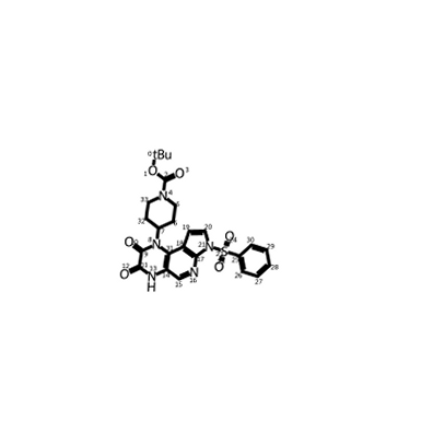 CC(C)(C)OC(=O)N1CCC(n2c(=O)c(=O)[nH]c3cnc4c(ccn4S(=O)(=O)c4ccccc4)c32)CC1